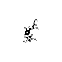 CCOC(=O)C[C@H](C)OC(=O)c1cc(-n2c(=O)n(C)c(=S)n(C)c2=O)c(F)cc1Cl